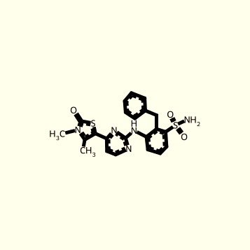 Cc1c(-c2ccnc(Nc3cccc(S(N)(=O)=O)c3Cc3ccccc3)n2)sc(=O)n1C